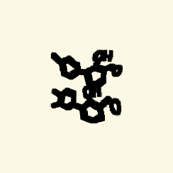 Cc1ccc(-c2cccc(C=O)c2O)cc1.Cc1ccc(-c2cccc(C=O)c2O)cc1C